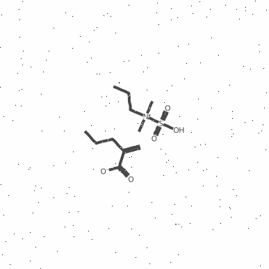 C=C(CCC)C(=O)[O-].CCC[N+](C)(C)S(=O)(=O)O